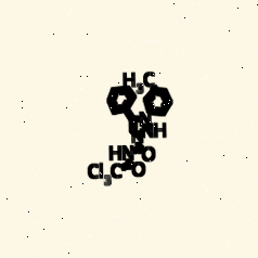 Cc1cccc(N2NN(C(=O)NC(=O)C(Cl)(Cl)Cl)C=C2c2ccccc2)c1